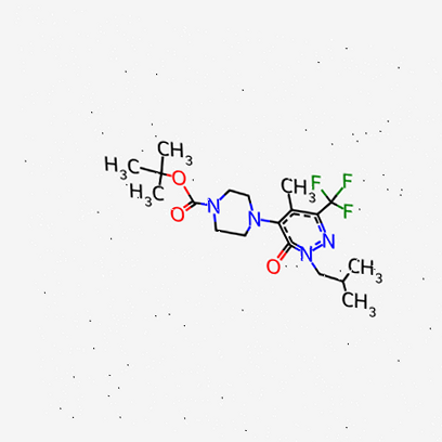 Cc1c(C(F)(F)F)nn(CC(C)C)c(=O)c1N1CCN(C(=O)OC(C)(C)C)CC1